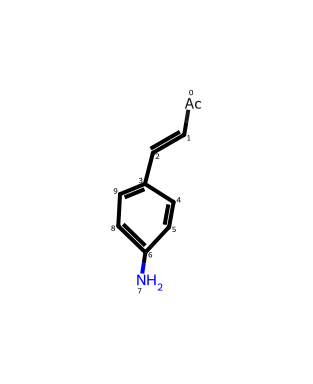 CC(=O)C=Cc1ccc(N)cc1